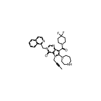 CC#CCn1c(N2CCCNCC2)c(C(=O)N2CCC(F)(F)CC2)c2ncn(Cc3nccc4ccccc34)c(=O)c21